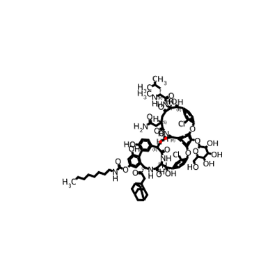 CCCCCCCCNC(=O)Oc1cc(O)c2c(c1)[C@@H](C(=O)CC1C3CC4CC(C3)CC1C4)NC(=O)[C@H]1NC(=O)[C@H](CC(=O)[C@@H]3NC(=O)[C@H](CC(N)=O)CC(=O)[C@H](NC(=O)[C@@H](CC(C)C)NC)[C@H](O)c4ccc(c(Cl)c4)Oc4cc3cc(c4OC3OC(CO)C(O)C(O)C3O)Oc3ccc(cc3Cl)[C@H]1O)c1ccc(O)c-2c1